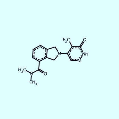 CN(C)C(=O)c1cccc2c1CN(c1cn[nH]c(=O)c1C(F)(F)F)C2